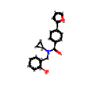 O=C(c1ccc(-c2ccco2)cc1)N(Cc1ccccc1O)C1CC1